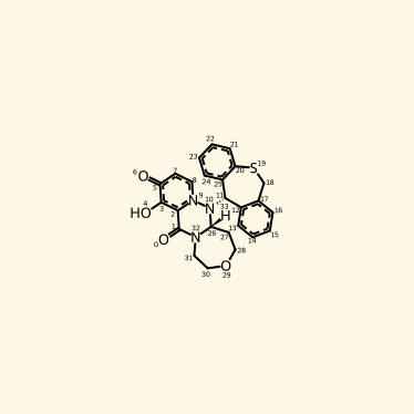 O=C1c2c(O)c(=O)ccn2N([C@H]2c3ccccc3CSc3ccccc32)[C@@H]2CCOCCN12